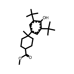 COC(=O)C1CCC(C)(c2cc(C(C)(C)C)c(O)c(C(C)(C)C)c2)CC1